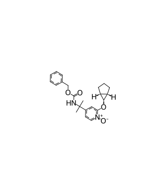 CC(C)(NC(=O)OCc1ccccc1)c1cc[n+]([O-])c(O[C@H]2[C@@H]3CCC[C@@H]32)c1